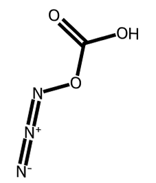 [N-]=[N+]=NOC(=O)O